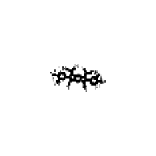 N#CC(C#N)=C1C(c2cc(F)c(C(F)(F)F)c(C(F)(F)F)c2)=C(C#N)c2cc3c(cc21)C(=C(C#N)C#N)C(c1cc(F)c(C(F)(F)F)c(C(F)(F)F)c1)=C3C#N